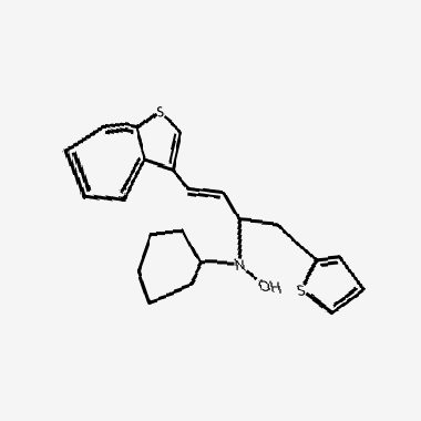 ON(C(C=Cc1csc2ccccc12)Cc1cccs1)C1CCCCC1